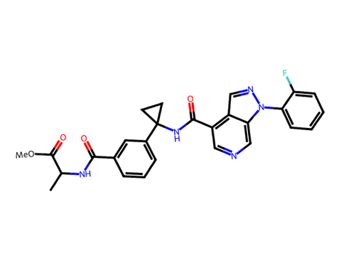 COC(=O)C(C)NC(=O)c1cccc(C2(NC(=O)c3cncc4c3cnn4-c3ccccc3F)CC2)c1